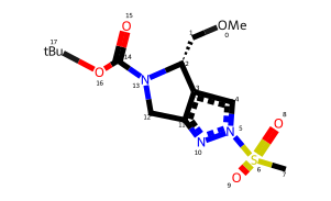 COC[C@@H]1c2cn(S(C)(=O)=O)nc2CN1C(=O)OC(C)(C)C